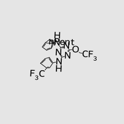 CCCCCC1(Nc2nc(Nc3cccc(C(F)(F)F)c3)nc(OCC(F)(F)F)n2)C2=CC=C1C=C2